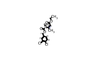 CCOC(=O)/C=C(/C)N(C)C(=O)OCc1ccc(Cl)c(Cl)c1